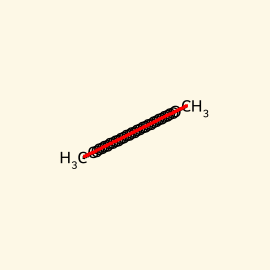 CCCCCCCCCCCCOCCOCCOCCOCCOCCOCCOCCOCCOCCOCCOCCOCCOCCOCCOCCOCCOCCOCCOCCOCCOCCOCCOCCOCCOCCOCCOCCOCCOCCOCCOCCCCCCCCCCCC